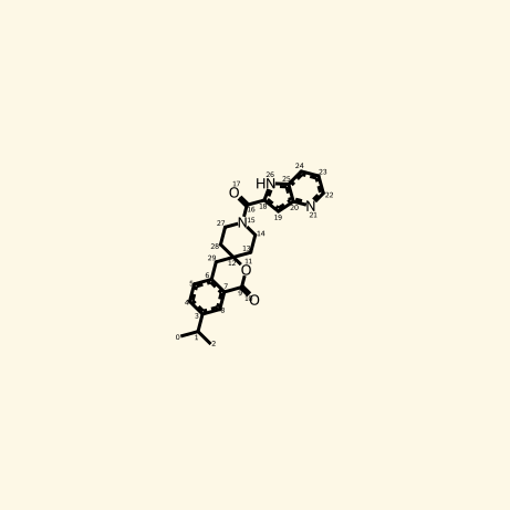 CC(C)c1ccc2c(c1)C(=O)OC1(CCN(C(=O)c3cc4ncccc4[nH]3)CC1)C2